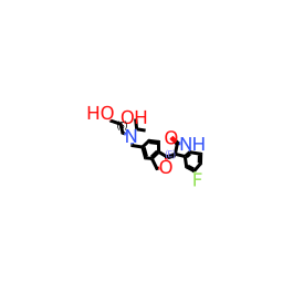 CC(C)N(Cc1ccc2c(c1)CO/C2=C1/C(=O)Nc2ccc(F)cc21)C[C@H](O)CO